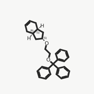 C1=CC[C@H]2C[C@H](OCCOC(c3ccccc3)(c3ccccc3)c3ccccc3)C[C@H]2C1